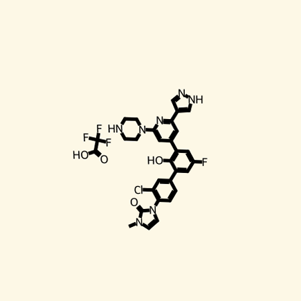 Cn1ccn(-c2ccc(-c3cc(F)cc(-c4cc(-c5cn[nH]c5)nc(N5CCNCC5)c4)c3O)cc2Cl)c1=O.O=C(O)C(F)(F)F